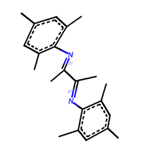 CC(=N\c1c(C)cc(C)cc1C)/C(C)=N/c1c(C)cc(C)cc1C